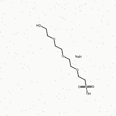 O=S(=O)(O)CCOCCOCCOCCO.[NaH]